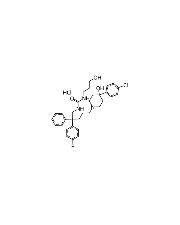 Cl.O=C(NCCCO)NCC(CCCN1CCC(O)(c2ccc(Cl)cc2)CC1)(c1ccccc1)c1ccc(F)cc1